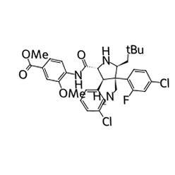 COC(=O)c1ccc(NC(=O)[C@@H]2N[C@@H](CC(C)(C)C)[C@](CN)(c3ccc(Cl)cc3F)[C@H]2c2cccc(Cl)c2)c(OC)c1